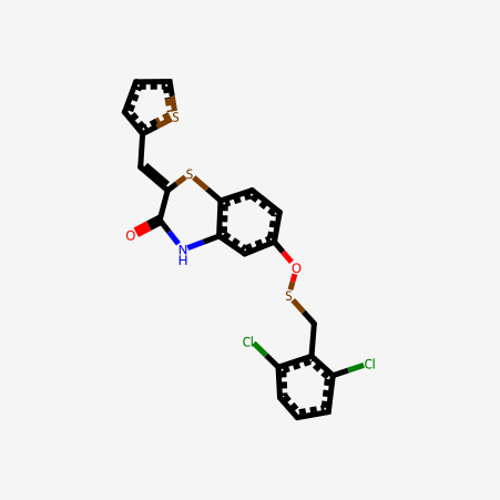 O=C1Nc2cc(OSCc3c(Cl)cccc3Cl)ccc2S/C1=C\c1cccs1